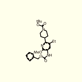 CCc1cc(NC(=O)OCc2ccccc2)c(OC)nc1C1CCN(C(=O)OC(C)(C)C)CC1